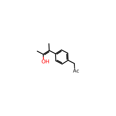 CC(=O)Cc1ccc(C(C)=C(C)O)cc1